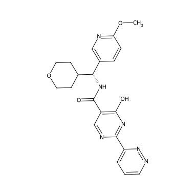 COc1ccc([C@H](NC(=O)c2cnc(-c3cccnn3)nc2O)C2CCOCC2)cn1